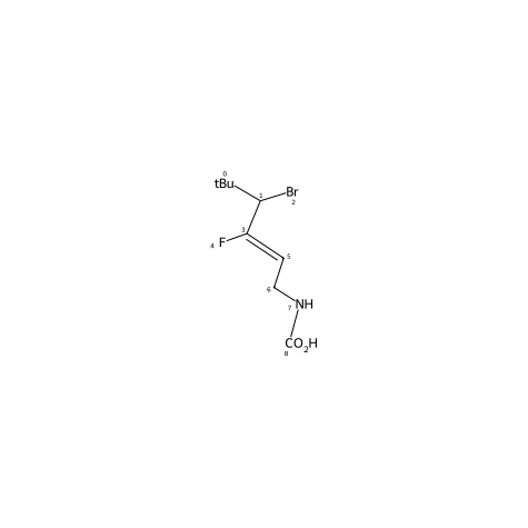 CC(C)(C)C(Br)/C(F)=C/CNC(=O)O